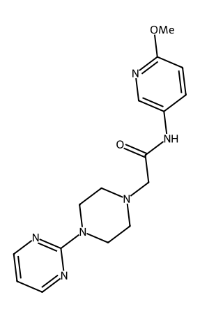 COc1ccc(NC(=O)CN2CCN(c3ncccn3)CC2)cn1